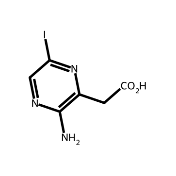 Nc1ncc(I)nc1CC(=O)O